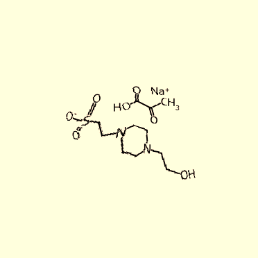 CC(=O)C(=O)O.O=S(=O)([O-])CCN1CCN(CCO)CC1.[Na+]